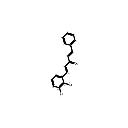 O=C(/C=C/c1ccccc1)/C=C/c1cccc(O)c1O